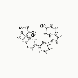 COC(=O)C1(C2(O)CCCN(c3ccnc(-c4cnc5ccc(Cl)cn45)n3)C2)CCC1